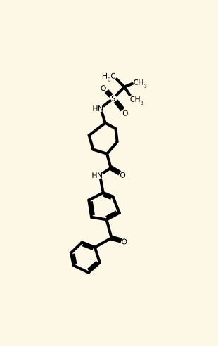 CC(C)(C)S(=O)(=O)NC1CCC(C(=O)Nc2ccc(C(=O)c3ccccc3)cc2)CC1